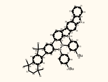 CC(C)(C)c1ccc(N2B3c4cc(C(C)(C)C)ccc4-n4c5cc6sc7ccccc7c6cc5c5ccc(c3c54)-c3cc4c(cc32)-c2cc3c(cc2C4(C)C)C(C)(C)CCC3(C)C)cc1